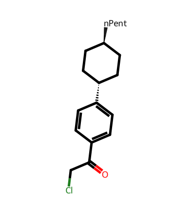 CCCCC[C@H]1CC[C@H](c2ccc(C(=O)CCl)cc2)CC1